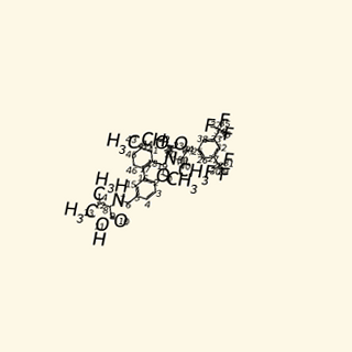 COc1ccc(CNC(C(=O)O)C(C)C)cc1C1=C(CN2C(=O)O[C@H](c3cc(C(F)(F)F)cc(C(F)(F)F)c3)[C@@H]2C)CC(C)(C)CC1